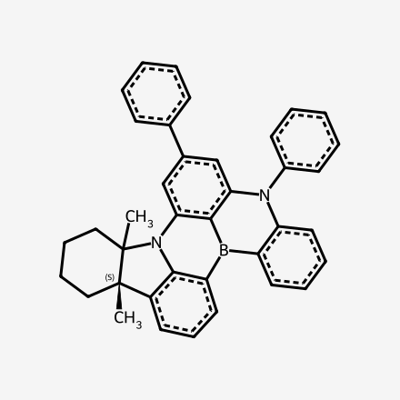 CC12CCCC[C@@]1(C)c1cccc3c1N2c1cc(-c2ccccc2)cc2c1B3c1ccccc1N2c1ccccc1